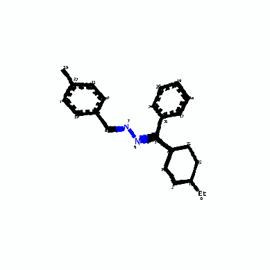 CCC1CCC(C(=NN=Cc2ccc(C)cc2)c2ccccc2)CC1